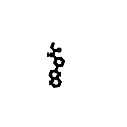 C=CC(=O)Nc1cccc(-c2ccc3ncccc3n2)c1